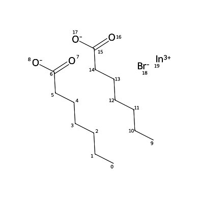 CCCCCCC(=O)[O-].CCCCCCC(=O)[O-].[Br-].[In+3]